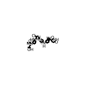 C[C@@H]1CN(c2ncc(Cl)c(Nc3cccc(N(CCC(C)(C)O)C(=O)N(C)C)c3)n2)CC[C@H]1Nc1ccc2c(C3CCC(=O)NC3=O)nn(C)c2c1